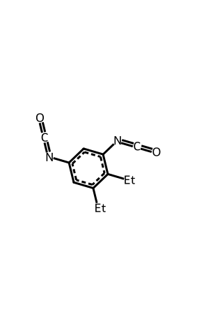 CCc1cc(N=C=O)cc(N=C=O)c1CC